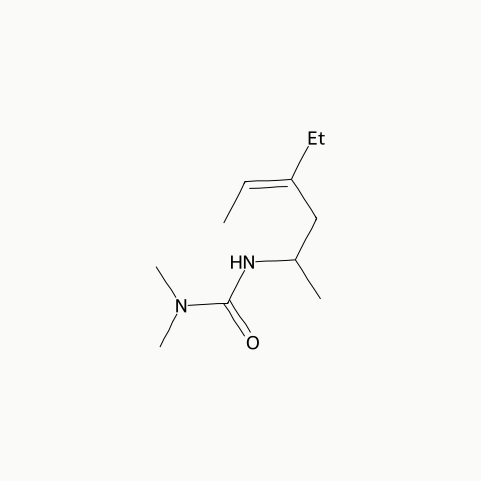 CC=C(CC)CC(C)NC(=O)N(C)C